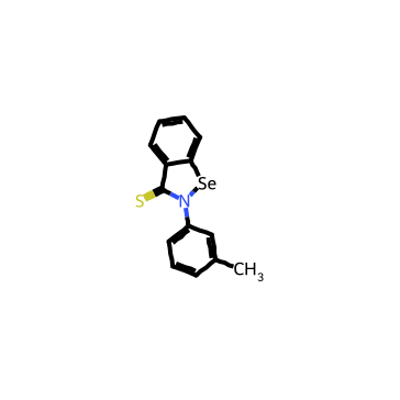 Cc1cccc(-n2[se]c3ccccc3c2=S)c1